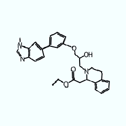 CCOC(=O)CC1c2ccccc2CCN1CC(O)COc1cccc(-c2ccc3ncn(C)c3c2)c1